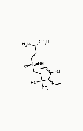 C/C=C(\C(Cl)=C/C)C(O)(CCS(=N)(=O)CC[C@H](N)C(=O)O)C(F)(F)F